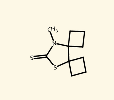 CN1C(=S)SC2(CCC2)C12CCC2